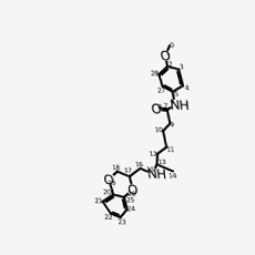 COc1ccc(NC(=O)CCCCC(C)NCC2COc3ccccc3O2)cc1